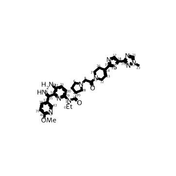 CCN(C(=O)[C@@H]1CCN(CC(=O)N2CC=C(c3ncc(-c4ncn(C)n4)s3)CC2)C1)c1ccc(N)c(C(=N)c2ccc(OC)nc2)n1